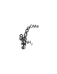 COCCOc1ccc(N2CCN(C(=O)C(c3ccccc3C(F)(F)F)n3ncc4c3nc(N)n3nc(-c5ccco5)nc43)CC2)cc1